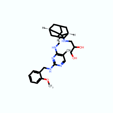 N#Cc1cnc(NCc2ccccc2OC(F)(F)F)nc1NC[C@@]12CC3C[C@H](C1)[C@@H](NCC(O)CO)[C@@H](C3)C2